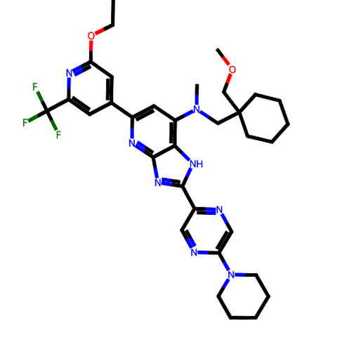 CCOc1cc(-c2cc(N(C)CC3(COC)CCCCC3)c3[nH]c(-c4cnc(N5CCCCC5)cn4)nc3n2)cc(C(F)(F)F)n1